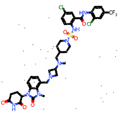 CN(CC1CCN(S(=O)(=O)Nc2ccc(Cl)cc2C(=O)Nc2ccc(C(F)(F)F)cc2Cl)CC1)C1CN(Cc2cccc3c2n(C)c(=O)n3C2CCC(=O)NC2=O)C1